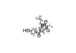 CCn1c(=O)c2c(C)c(C(=O)N3CCC(O)CC3)sc2n(CCC(C)C)c1=O